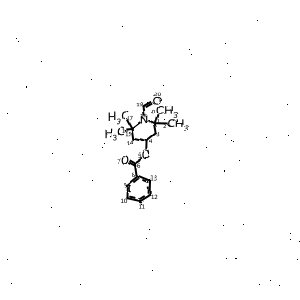 CC1(C)CC(OC(=O)c2ccccc2)CC(C)(C)N1C=O